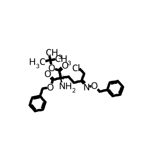 CC(C)(C)OC(=O)[C@](N)(CCC(CCl)=NOCc1ccccc1)C(=O)OCc1ccccc1